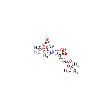 CC(C)(C)OC(=O)NCCC(CCC(N)CN(CC(=O)O)C(=O)OC(C)(C)C)C(=O)O